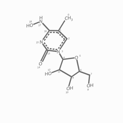 Cc1cn(C2OC(CO)C(O)C2O)c(=O)nc1NO